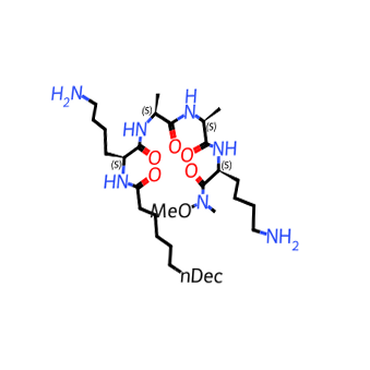 CCCCCCCCCCCCCCCC(=O)N[C@@H](CCCCN)C(=O)N[C@@H](C)C(=O)N[C@@H](C)C(=O)N[C@@H](CCCCN)C(=O)N(C)OC